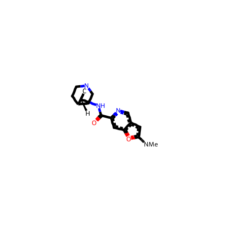 CNc1cc2cnc(C(=O)N[C@H]3CN4CCC3CC4)cc2o1